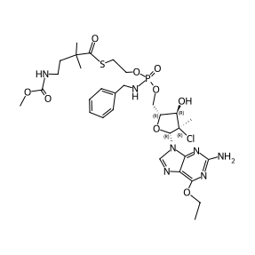 CCOc1nc(N)nc2c1ncn2[C@@H]1O[C@H](COP(=O)(NCc2ccccc2)OCCSC(=O)C(C)(C)CCNC(=O)OC)[C@@H](O)[C@@]1(C)Cl